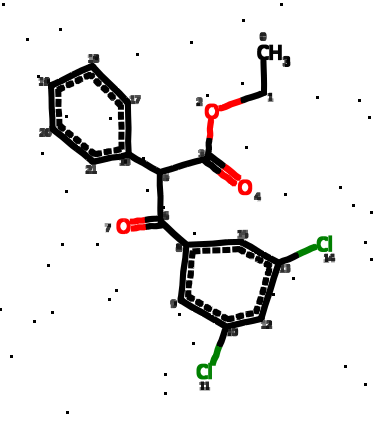 CCOC(=O)C(C(=O)c1cc(Cl)cc(Cl)c1)c1ccccc1